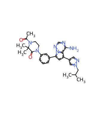 CC(=O)N1CCN(c2cccc(-c3cc(-c4cnn(CC(C)C)c4)c4c(N)ncnn34)c2)C(=O)C1(C)C